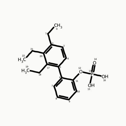 CCc1ccc(-c2ccccc2OP(=O)(O)O)c(CC)c1CC